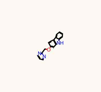 [c]1c(OCc2ncccn2)ccc2c1[nH]c1ccccc12